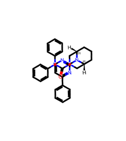 O=C(N1C[C@H]2CCC[C@@H](C1)N2c1nccc(-c2ccccc2)n1)N(c1ccccc1)c1ccccc1